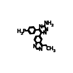 CCc1ncnc2ccc(-c3nnc(N)nc3-c3ccc(P)cc3)cc12